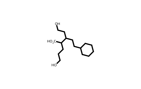 O=C(O)C(CCCO)C(CCO)CC[C]1CCCCC1